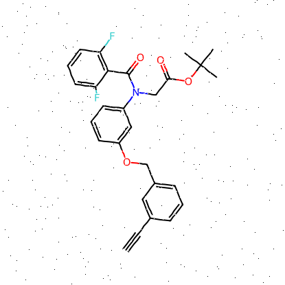 C#Cc1cccc(COc2cccc(N(CC(=O)OC(C)(C)C)C(=O)c3c(F)cccc3F)c2)c1